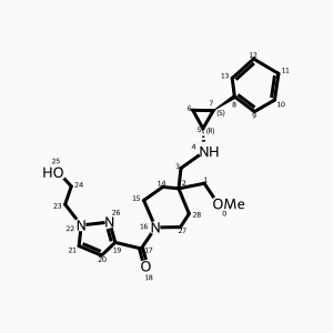 COCC1(CN[C@@H]2C[C@H]2c2ccccc2)CCN(C(=O)c2ccn(CCO)n2)CC1